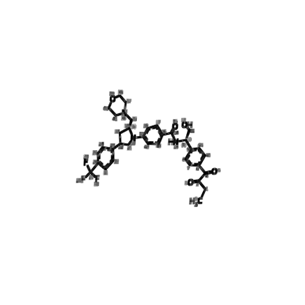 CCC(=O)C(=O)c1ccc([C@H](CO)NC(=O)c2ccc(N3CC(c4ccc(C(F)(F)F)cc4)C[C@H]3CN3CCOCC3)cc2)cc1